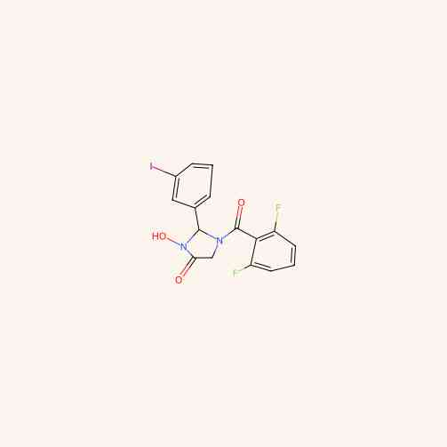 O=C1CN(C(=O)c2c(F)cccc2F)C(c2cccc(I)c2)N1O